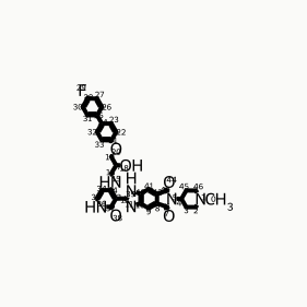 CN1CCC(N2C(=O)c3cc4nc(-c5c(NCC(O)COc6ccc(-c7ccc(F)cc7)cc6)cc[nH]c5=O)[nH]c4cc3C2=O)CC1